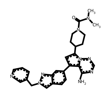 CN(C)C(=O)N1CCC(c2cc(-c3ccc4cn(Cc5cccnc5)nc4c3)c3c(N)ncnn23)CC1